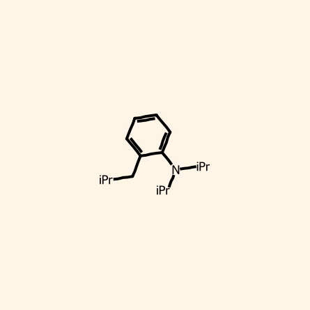 CC(C)Cc1ccccc1N(C(C)C)C(C)C